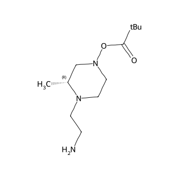 C[C@@H]1CN(OC(=O)C(C)(C)C)CCN1CCN